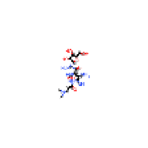 CN(C)CCC(=O)NC(=N)/C(N)=C(\NO)C(=O)N(N)C1OC(CO)C(O)C1O